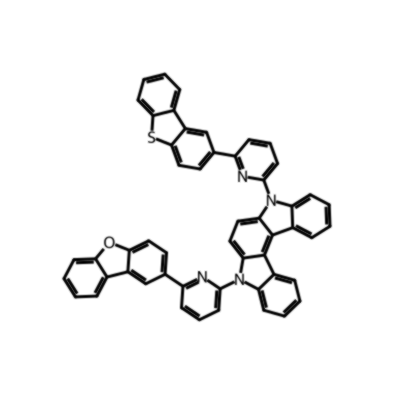 c1cc(-c2ccc3oc4ccccc4c3c2)nc(-n2c3ccccc3c3c4c5ccccc5n(-c5cccc(-c6ccc7sc8ccccc8c7c6)n5)c4ccc32)c1